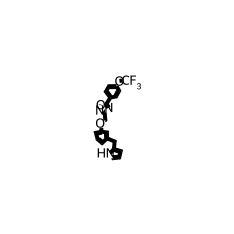 FC(F)(F)Oc1ccc(-c2nc(COc3cccc(Cc4ccc[nH]4)c3)no2)cc1